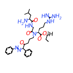 [2H]C(CC)OC(=O)[C@H](CCCNC(=N)N)N(CCCC(=O)C(N=Nc1ccccc1)c1ccccc1)C(=O)CNC(=O)[C@@H](N)CC(C)C